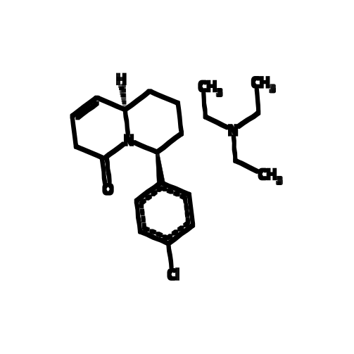 CCN(CC)CC.O=C1CC=C[C@H]2CCC[C@@H](c3ccc(Cl)cc3)N12